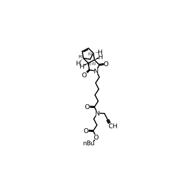 C#CCN(CCC(=O)OCCCC)C(=O)CCCCCN1C(=O)[C@@H]2[C@H](C1=O)[C@H]1C=C[C@@H]2C1